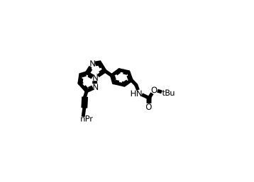 CCCC#Cc1ccc2ncc(-c3ccc(CNC(=O)OC(C)(C)C)cc3)n2n1